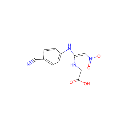 N#Cc1ccc(NC(=C[N+](=O)[O-])NCC(=O)O)cc1